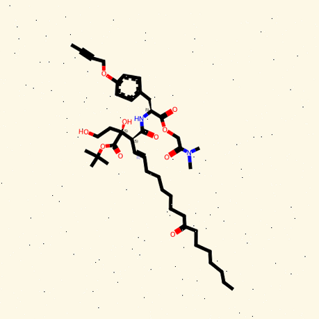 CC#CCOc1ccc(C[C@H](NC(=O)[C@@H](/C=C/CCCCCCC(=O)CCCCCCC)[C@@](O)(CCO)C(=O)OC(C)(C)C)C(=O)OCC(=O)N(C)C)cc1